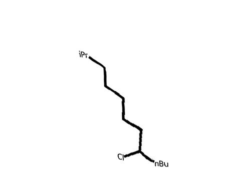 CCCCC(Cl)CCCCCC(C)C